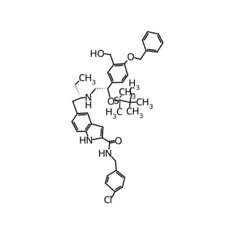 CC[C@@H](Cc1ccc2[nH]c(C(=O)NCc3ccc(Cl)cc3)cc2c1)NC[C@@H](O[Si](C)(C)C(C)(C)C)c1ccc(OCc2ccccc2)c(CO)c1